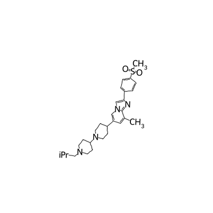 Cc1cc(C2CCN(C3CCN(CC(C)C)CC3)CC2)cn2cc(-c3ccc(S(C)(=O)=O)cc3)nc12